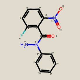 NN(C(=O)c1c(F)cccc1[N+](=O)[O-])c1ccccc1